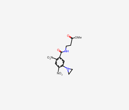 COC(=O)CCNC(=O)c1cc(N2CC2)c([N+](=O)[O-])cc1[N+](=O)[O-]